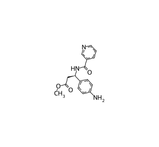 COC(=O)C[C@@H](NC(=O)c1cccnc1)c1ccc(N)cc1